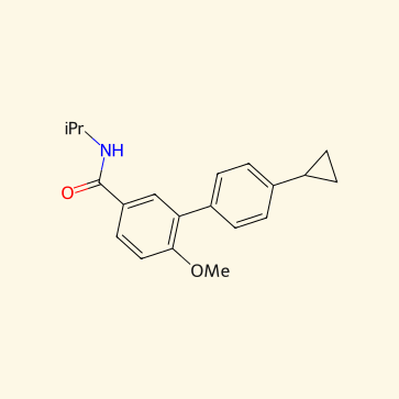 COc1ccc(C(=O)NC(C)C)cc1-c1ccc(C2CC2)cc1